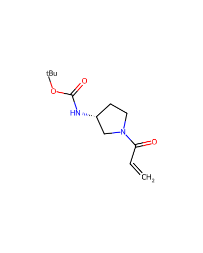 C=CC(=O)N1CC[C@@H](NC(=O)OC(C)(C)C)C1